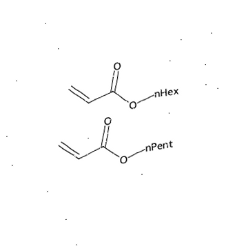 C=CC(=O)OCCCCC.C=CC(=O)OCCCCCC